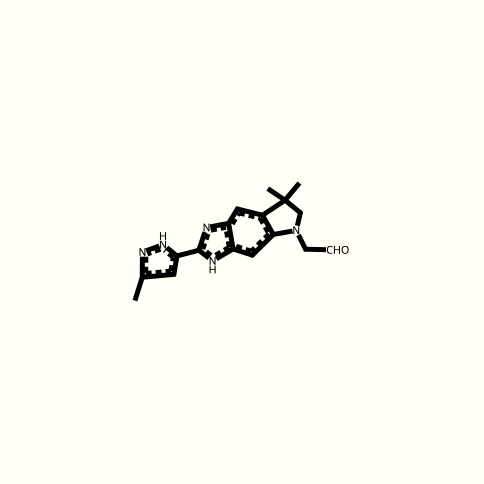 Cc1cc(-c2nc3cc4c(cc3[nH]2)N(CC=O)CC4(C)C)[nH]n1